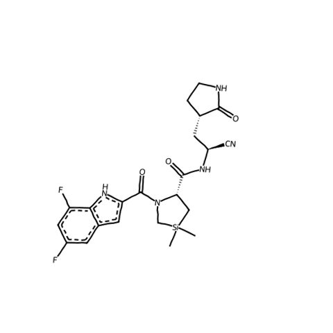 C[Si]1(C)C[C@@H](C(=O)N[C@H](C#N)C[C@@H]2CCNC2=O)N(C(=O)c2cc3cc(F)cc(F)c3[nH]2)C1